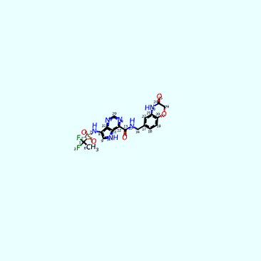 CC(F)(F)S(=O)(=O)Nc1c[nH]c2c(C(=O)NCc3ccc4c(c3)NC(=O)CO4)ncnc12